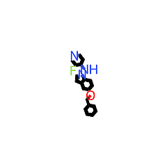 Fc1cnccc1Nn1ccc2cc(OCc3ccccc3)ccc21